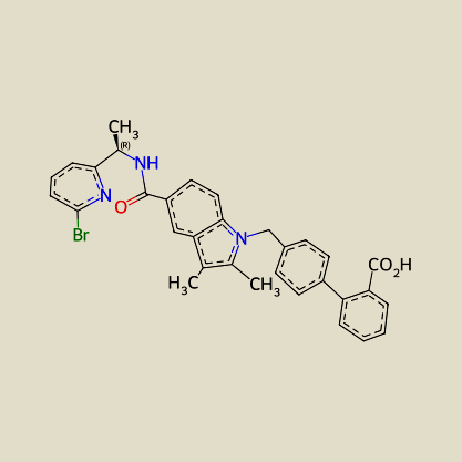 Cc1c(C)n(Cc2ccc(-c3ccccc3C(=O)O)cc2)c2ccc(C(=O)N[C@H](C)c3cccc(Br)n3)cc12